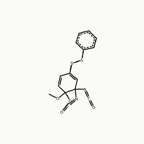 COC1(OC)C=CC(SSc2ccccc2)=CC1(N=C=O)N=C=O